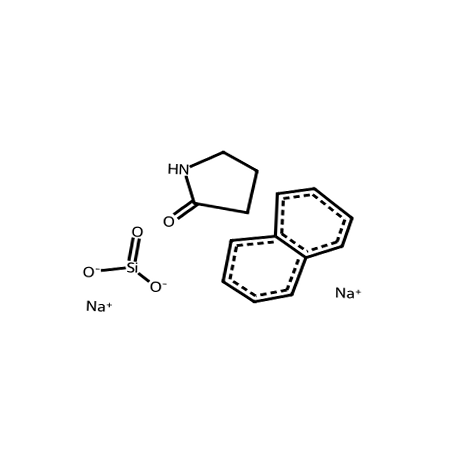 O=C1CCCN1.O=[Si]([O-])[O-].[Na+].[Na+].c1ccc2ccccc2c1